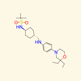 CCC1(CC)CN(c2ccc(NC[C@H]3CC[C@H](NS(=O)(=O)C(C)(C)C)CC3)cc2)CCO1